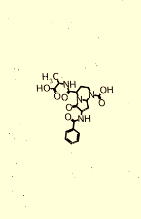 CC(NC(=O)C1CCN(C(=O)O)C2CC(NC(=O)c3ccccc3)C(=O)N12)C(=O)O